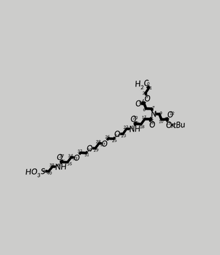 C=CCOC(=O)CCN(CCC(=O)OC(C)(C)C)C(=O)CCC(=O)NCCOCCOCCOCCOCCC(=O)NCCS(=O)(=O)O